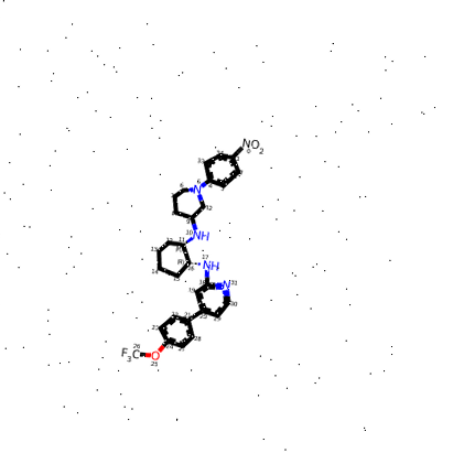 O=[N+]([O-])c1ccc(N2CCCC(N[C@@H]3CCCC[C@H]3Nc3cc(-c4ccc(OC(F)(F)F)cc4)ccn3)C2)cc1